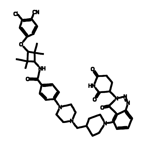 CC1(C)C(NC(=O)c2ccc(N3CCN(CC4CCN(c5cccc6nnn(C7CCC(=O)NC7=O)c(=O)c56)CC4)CC3)cc2)C(C)(C)C1Oc1ccc(C#N)c(Cl)c1